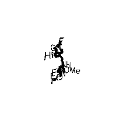 COc1nc(OC(F)F)c(F)cc1NCCc1c[nH]c2c(=O)n(CCF)ccc12